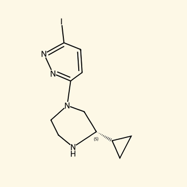 Ic1ccc(N2CCN[C@@H](C3CC3)C2)nn1